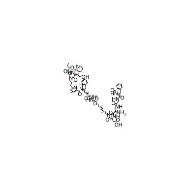 CCCC(=O)OCN(CCCc1nc(C(=O)N[C@@H](Cc2ccc(O)cc2)C[C@H](C)C(=O)NNC(=O)OCCSSCCNC(=O)[C@H](CC(=O)O)NC(=O)[C@@H](N)CNC(=O)CNC(=O)[C@H](Cc2ccccc2)NC=O)cs1)C(=O)[C@@H](NC(=O)[C@H]1CCCCN1C)C(C)CC